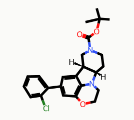 CC(C)(C)OC(=O)N1CC[C@H]2[C@@H](C1)c1cc(-c3ccccc3Cl)cc3c1N2CCO3